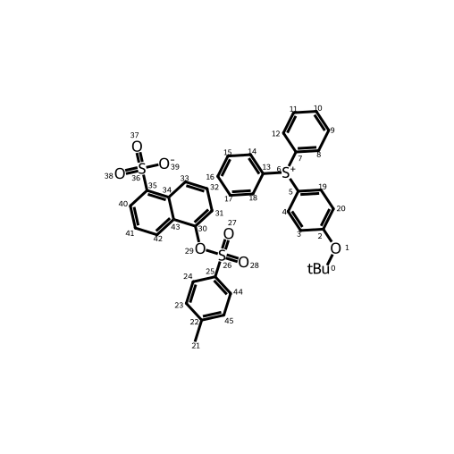 CC(C)(C)Oc1ccc([S+](c2ccccc2)c2ccccc2)cc1.Cc1ccc(S(=O)(=O)Oc2cccc3c(S(=O)(=O)[O-])cccc23)cc1